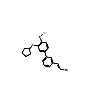 COc1ccc(-c2cccc(/C=N/O)c2)cc1OC1CCCC1